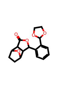 O=C1OC(c2ccccc2C2OCCO2)C2C3CCC(O3)C12